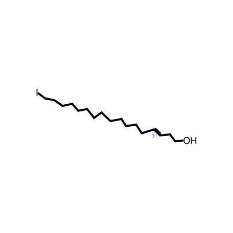 OCC/C=C/CCCCCCCCCCCCCI